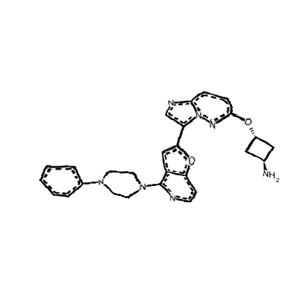 N[C@H]1C[C@H](Oc2ccc3ncc(-c4cc5c(N6CCN(c7ccccc7)CC6)nccc5o4)n3n2)C1